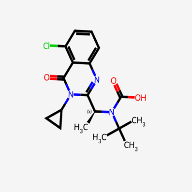 C[C@@H](c1nc2cccc(Cl)c2c(=O)n1C1CC1)N(C(=O)O)C(C)(C)C